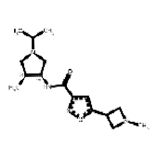 CC(C)N1C[C@H](C)[C@H](NC(=O)c2cc(C3CN(C)C3)on2)C1